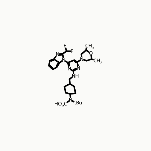 CC1CN(c2cc(-n3c(C(F)F)nc4ccccc43)nc(NCC3CCC(N(C(=O)O)C(C)(C)C)CC3)n2)CC(C)O1